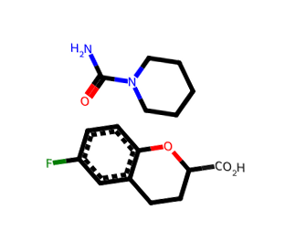 NC(=O)N1CCCCC1.O=C(O)C1CCc2cc(F)ccc2O1